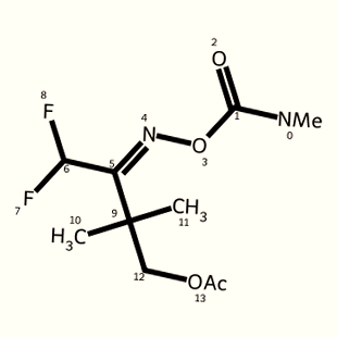 CNC(=O)ON=C(C(F)F)C(C)(C)COC(C)=O